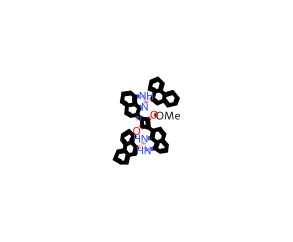 COOC1=C(c2ccc3cccc4c3c2NB(c2cc3ccccc3c3ccccc23)N4)C(=O)/C1=c1\ccc2cccc3c2c1=NB(c1cc2ccccc2c2ccccc12)N3